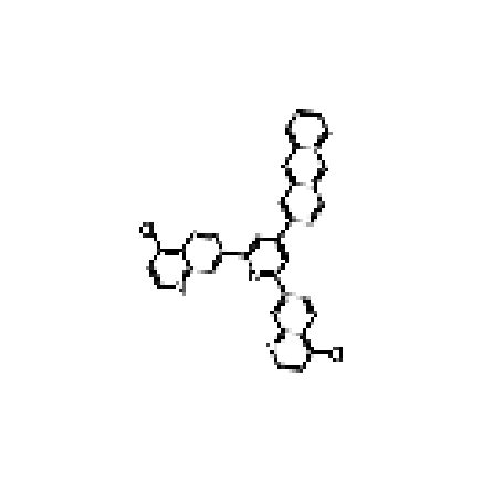 Clc1ccnc2cc(-c3cc(-c4ccc5cc6ccccc6cc5c4)cc(-c4ccc5c(Cl)ccnc5c4)n3)ccc12